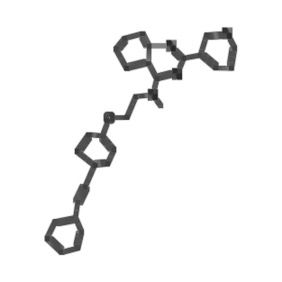 CN(CCOc1ccc(C#Cc2ccccc2)cc1)c1nc(-c2cccnc2)nc2ccccc12